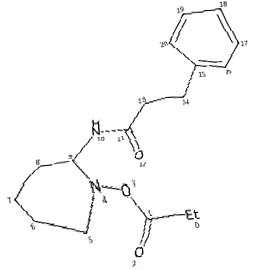 CCC(=O)ON1CCCCC1NC(=O)CCc1ccccc1